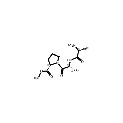 CCC[C@H](NC)C(=O)N[C@H](C(=O)N1CCC[C@H]1C(=O)OC(C)(C)C)[C@@H](C)CC